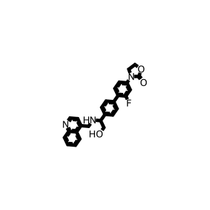 O=C1OCCN1c1ccc(-c2ccc(C(CO)NCc3ccnc4ccccc34)cc2)c(F)c1